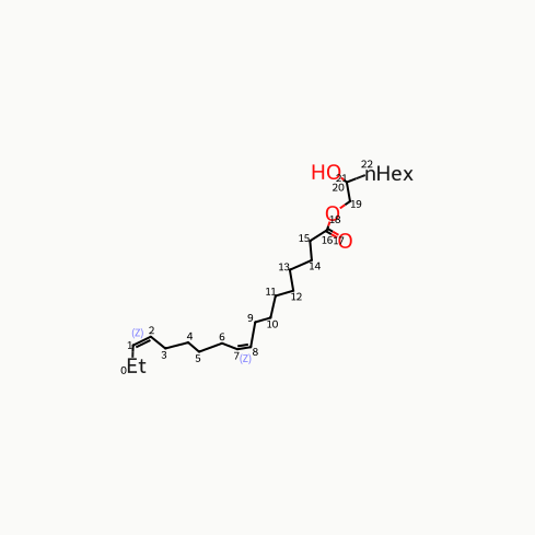 CC/C=C\CCCC/C=C\CCCCCCCC(=O)OCC(O)CCCCCC